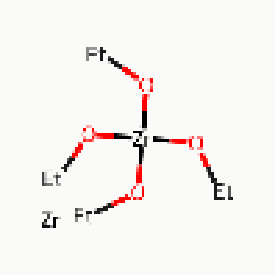 CC[O][Zr]([O]CC)([O]CC)[O]CC.[Zr]